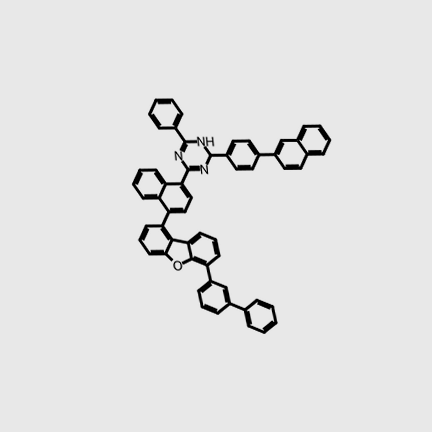 c1ccc(C2=NC(c3ccc(-c4cccc5oc6c(-c7cccc(-c8ccccc8)c7)cccc6c45)c4ccccc34)=NC(c3ccc(-c4ccc5ccccc5c4)cc3)N2)cc1